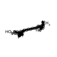 Cc1ncsc1-c1ccc(CNC(=O)[C@@H]2C[C@@H](O)CN2C(=O)[C@@H](NC(=O)COCCOCCOCCOCCOCCOCCOc2ccc(NC(=O)c3c(-c4ccccc4)c(-c4ccc(F)cc4)n(CC[C@H](O)C[C@H](O)CC(=O)O)c3C(C)C)cc2)C(C)(C)C)cc1